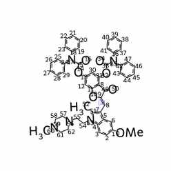 COc1ccc2c(c1)c(/C=C1\Oc3cc(OC(=O)N(c4ccccc4)c4ccccc4)cc(OC(=O)N(c4ccccc4)c4ccccc4)c3C1=O)c(C)n2CCN1CCN(C)CC1